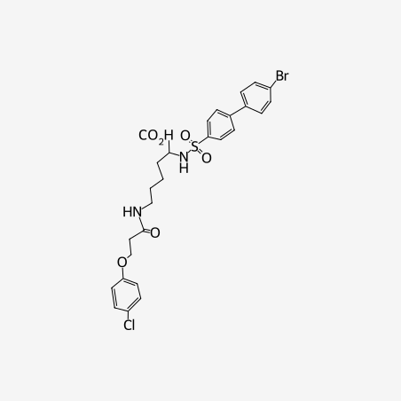 O=C(CCOc1ccc(Cl)cc1)NCCCCC(NS(=O)(=O)c1ccc(-c2ccc(Br)cc2)cc1)C(=O)O